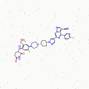 COc1cc(N2CCN([C@H]3CC[C@H](n4cc(-c5cn6ncc(C#N)c6c(-c6ccc(F)nc6)n5)cn4)CC3)CC2)c(F)cc1NC1CCC(=O)NC1=O